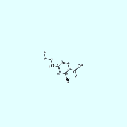 CCCOc1ccc(C(C)=O)c(Br)c1